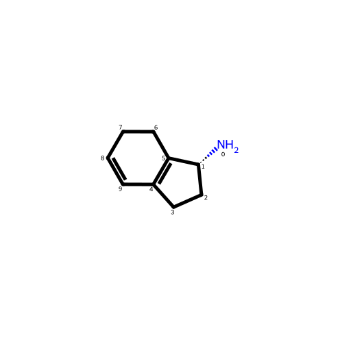 N[C@@H]1CCC2=C1CCC=C2